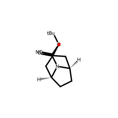 CC1(C#N)C[C@H]2CC[C@@H](C1)N2C(=O)OC(C)(C)C